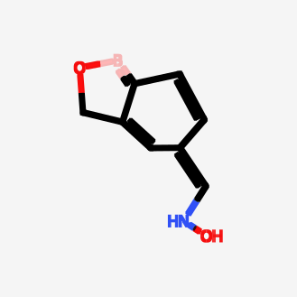 ONC=c1ccc2c(c1)COB=2